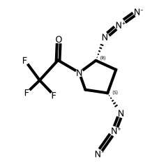 [N-]=[N+]=N[C@H]1C[C@@H](N=[N+]=[N-])N(C(=O)C(F)(F)F)C1